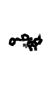 NC(=O)c1[nH]c2ccc(I)cc2c1S(=O)(=O)N1CCO[C@H](COc2ccccc2)C1